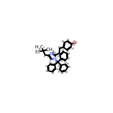 CCC(C)(C)Cc1cn(C(c2ccccc2)(c2ccccc2)c2ccccc2)c(CCc2ccc(Br)cc2)n1